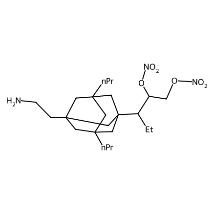 CCCC12CC3(CCC)CC(CCN)(C1)CC(C(CC)C(CO[N+](=O)[O-])O[N+](=O)[O-])(C2)C3